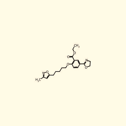 CCOC(=O)c1cc(C2=NCCO2)ccc1OCCCCCc1cc(C)no1